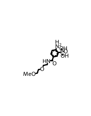 COCCOCCNC(=O)c1ccc(N)c(P(=O)(O)O)c1